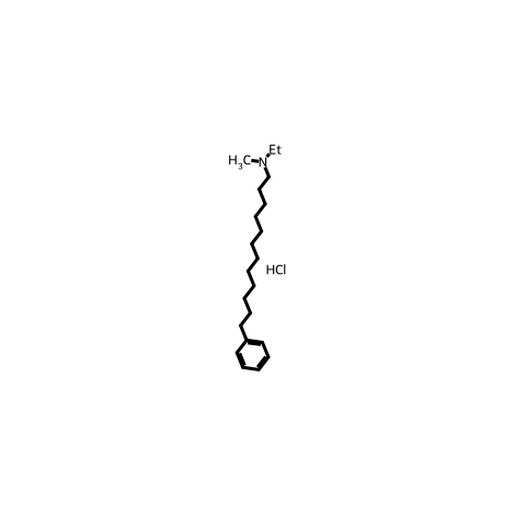 CCN(C)CCCCCCCCCCCCc1ccccc1.Cl